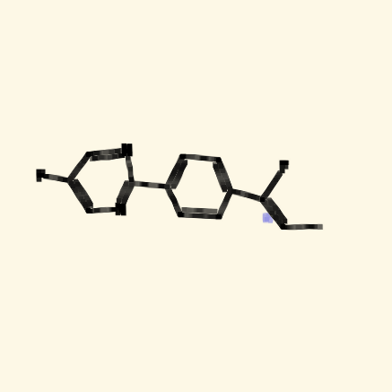 [CH2]/C=C(\F)c1ccc(-c2ncc(F)cn2)cc1